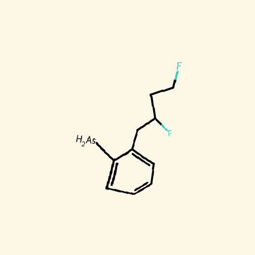 FCCC(F)Cc1ccccc1[AsH2]